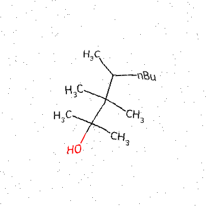 CCCCC(C)C(C)(C)C(C)(C)O